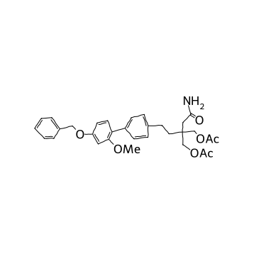 COc1cc(OCc2ccccc2)ccc1-c1ccc(CCC(COC(C)=O)(COC(C)=O)CC(N)=O)cc1